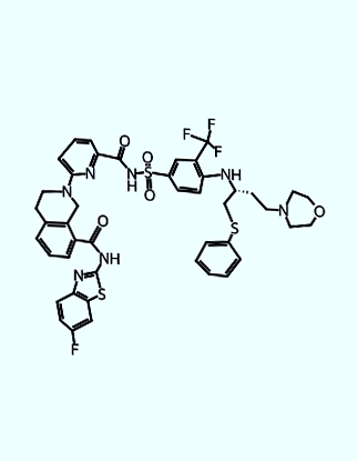 O=C(NS(=O)(=O)c1ccc(N[C@H](CCN2CCOCC2)CSc2ccccc2)c(C(F)(F)F)c1)c1cccc(N2CCc3cccc(C(=O)Nc4nc5ccc(F)cc5s4)c3C2)n1